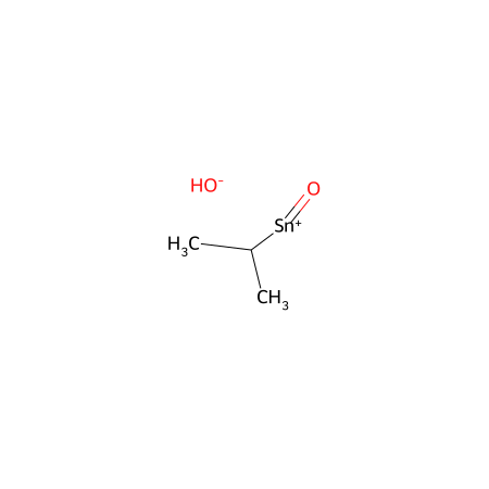 C[CH](C)[Sn+]=[O].[OH-]